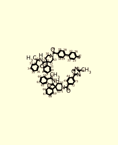 C[C@H](NC(=O)C1(c2ccccc2)CCN(C(=O)c2ccc(-c3ccc(F)cc3)cc2)CC1)c1ccccc1.Cc1noc(-c2ccc(C(=O)N3CCC(C(=O)N[C@@H](C)c4ccccc4)(c4ccccc4)CC3)cc2)n1